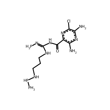 Nc1nc(N)c(C(=O)N/C(=N/P)NCCCNPP)nc1Cl